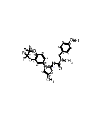 CCOc1ccc(CN(C)C(=O)/N=c2\sc(C)cn2-c2ccc3c(c2)OC(F)(F)C(F)(F)O3)cc1